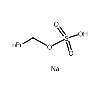 CCCCOS(=O)(=O)O.[Na]